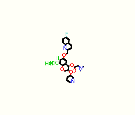 CN(C)CC(=O)O[C@@H]1c2cc(OCc3ccc4cc(F)ccc4n3)ccc2OC[C@@H]1Oc1cccnc1.Cl.Cl.Cl